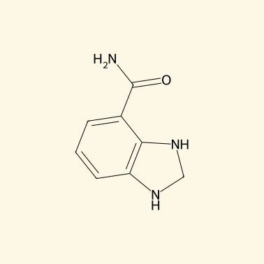 NC(=O)c1cccc2c1NCN2